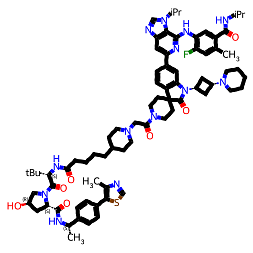 Cc1cc(F)c(Nc2nc(-c3ccc4c(c3)N([C@H]3C[C@@H](N5CCCCC5)C3)C(=O)C43CCN(C(=O)CN4CCC(CCCCC(=O)N[C@H](C(=O)N5C[C@H](O)C[C@H]5C(=O)N[C@@H](C)c5ccc(-c6scnc6C)cc5)C(C)(C)C)CC4)CC3)cc3ncn(C(C)C)c23)cc1C(=O)NC(C)C